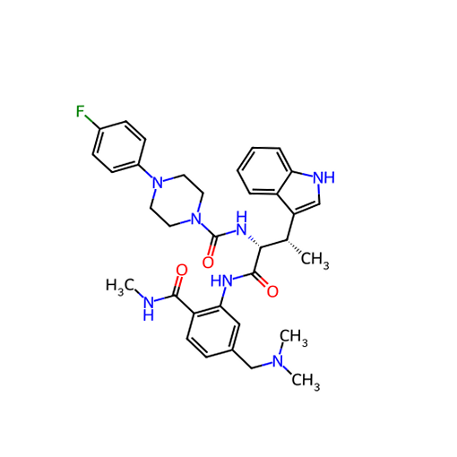 CNC(=O)c1ccc(CN(C)C)cc1NC(=O)[C@H](NC(=O)N1CCN(c2ccc(F)cc2)CC1)[C@@H](C)c1c[nH]c2ccccc12